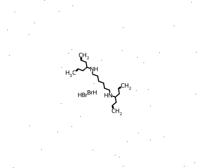 Br.Br.C=CCC(CC=C)NCCCCCCNC(CC=C)CC=C